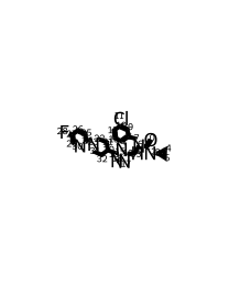 O=C(NC1CC1)N1Cc2cc(Cl)ccc2-n2c(nnc2C2CCN(c3ccc(F)cn3)CC2)C1